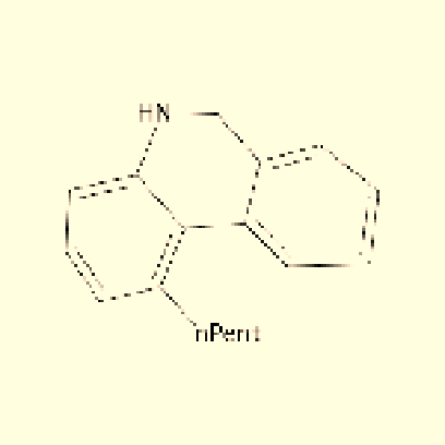 CCCCCc1cccc2c1-c1ccccc1CN2